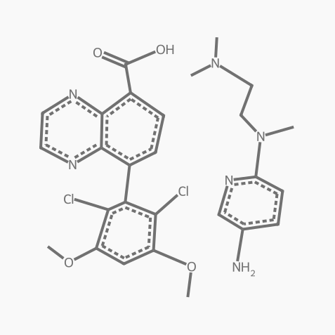 CN(C)CCN(C)c1ccc(N)cn1.COc1cc(OC)c(Cl)c(-c2ccc(C(=O)O)c3nccnc23)c1Cl